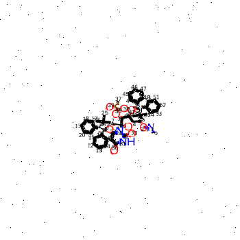 C=NOCC1O[C@](CO[Si](c2ccccc2)(c2ccccc2)C(C)(C)C)(n2ccc(=O)[nH]c2=O)C(OS(C)(=O)=O)C1O[Si](c1ccccc1)(c1ccccc1)C(C)(C)C